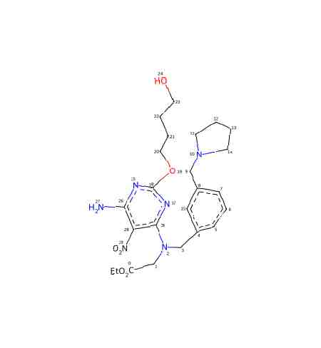 CCOC(=O)CN(Cc1cccc(CN2CCCC2)c1)c1nc(OCCCCO)nc(N)c1[N+](=O)[O-]